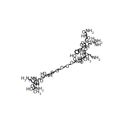 CC(O)[C@H](N)C(=O)N[C@@H](C/C(N)=C/N)C(=O)NCC(=O)NCC(=O)NCCOCCOCCOCCOCCOCC(=O)NCC(=O)N[C@@H](C)C(=O)N[C@@H](CCCCN)C(=O)N[C@@H](CC1CCC(O)CC1)C(=O)N[C@@H](CCCNC(=N)N)C(=O)NCC(=O)NCC(N)=O